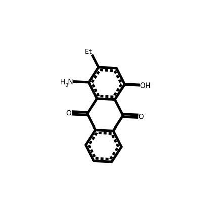 CCc1cc(O)c2c(c1N)C(=O)c1ccccc1C2=O